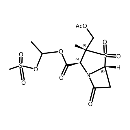 CC(=O)OC[C@@]1(C)[C@H](C(=O)OC(C)OS(C)(=O)=O)N2C(=O)C[C@H]2S1(=O)=O